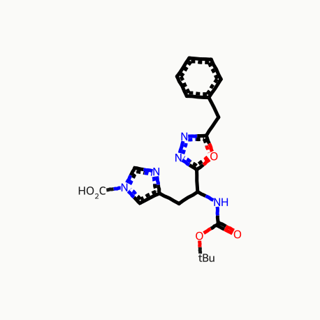 CC(C)(C)OC(=O)NC(Cc1cn(C(=O)O)cn1)c1nnc(Cc2ccccc2)o1